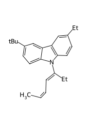 C/C=C\C=C(/CC)n1c2ccc(CC)cc2c2cc(C(C)(C)C)ccc21